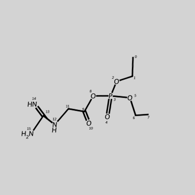 CCOP(=O)(OCC)OC(=O)CNC(=N)N